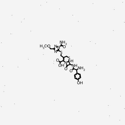 COCc1nc(SCC2=C(C(=O)O)N3C(=O)C(NC(=O)C(N)c4ccc(O)cc4)[C@@H]3SC2)n(C(N)=O)n1